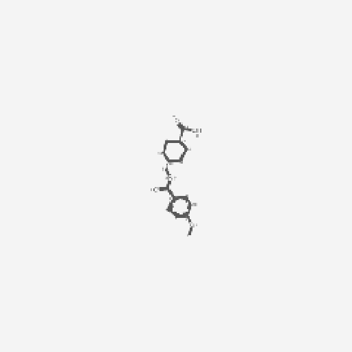 COc1ccc(C(=O)NC[C@H]2CC[C@H](C(=O)O)CC2)cc1